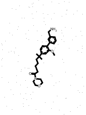 COc1cc(C(C)(C)CCCCC(=O)N2CCOCC2)ccc1-c1cccc(CN)c1